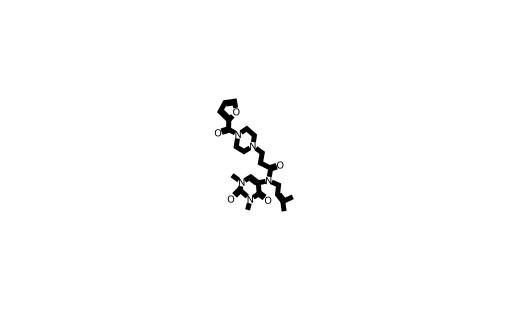 CC(C)=CCN(C(=O)CCN1CCN(C(=O)c2ccco2)CC1)c1cn(C)c(=O)n(C)c1=O